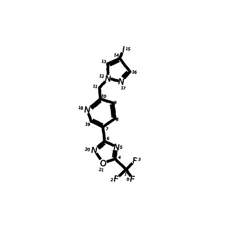 FC(F)(F)c1nc(-c2ccc(Cn3cc(I)cn3)nc2)no1